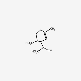 CC1=CC(N(C(=O)O)C(C)(C)C)C(C(=O)O)CC1